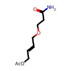 CC(=O)OC/C=C/COCCC(N)=O